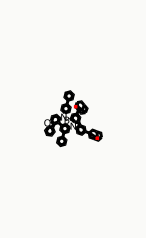 c1ccc(-c2ccc(N3B4c5c(cc(-c6ccccc6)cc5-n5c6ccc(C78CC9CC(CC(C9)C7)C8)cc6c6cc(C78CC9CC(CC(C9)C7)C8)cc4c65)-c4c3ccc3oc5ccccc5c43)cc2)cc1